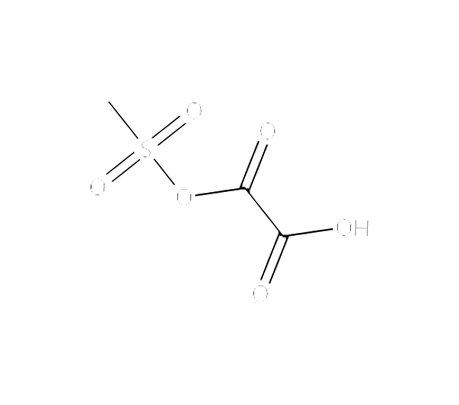 CS(=O)(=O)OC(=O)C(=O)O